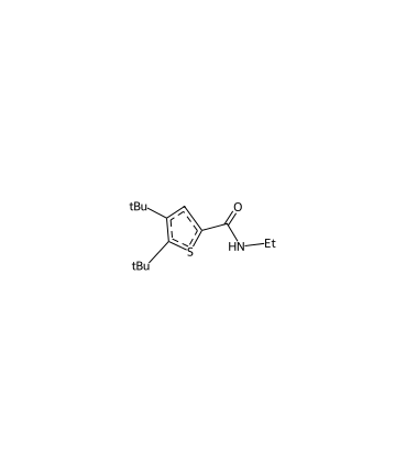 CCNC(=O)c1cc(C(C)(C)C)c(C(C)(C)C)s1